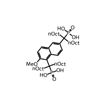 CCCCCCCCC(CCCCCCCC)(c1ccc2c(C(CCCCCCCC)(CCCCCCCC)P(=O)(O)O)c(OC)ccc2c1)P(=O)(O)O